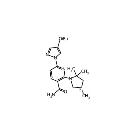 CC(C)COc1cnn(-c2ccc(C(N)=O)c(N3C[C@@H](C)CC3(C)C)n2)c1